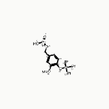 COc1cc(CO[PH](=O)O)ccc1O[Si](C(C)C)(C(C)C)C(C)C